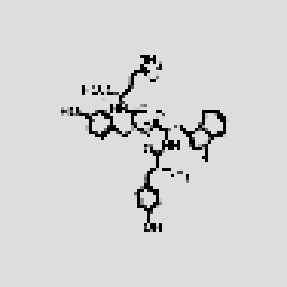 NC(=O)CC[C@H](NC(=O)[C@H](Cc1ccc(O)cc1)NC(=O)[C@H](Cc1c[nH]c2ccccc12)NC(=O)[C@@H](N)Cc1ccc(O)cc1)C(=O)O